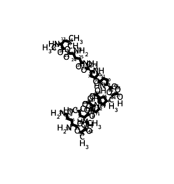 CNC(CC(C)C)C(=O)O.CNC(CC(C)C)C(=O)OC(=O)C(N)CCC(N)=O.C[C@H](OC(=O)C(N)CCC(N)=O)C(=O)O.C[C@H](OC(=O)[C@@H]1CCC(=O)N1)C(=O)O.O=C(O)C1CCCC1.O=C(O)C1CCCN1.O=C(O)[C@@H]1CCCN1